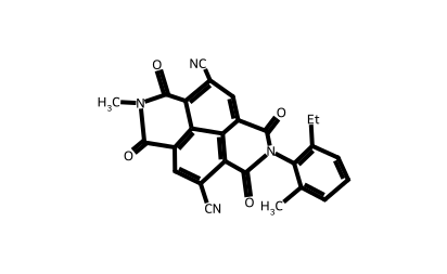 CCc1cccc(C)c1N1C(=O)c2cc(C#N)c3c4c(cc(C#N)c(c24)C1=O)C(=O)N(C)C3=O